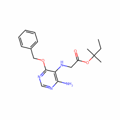 CCC(C)(C)OC(=O)CNc1c(N)ncnc1OCc1ccccc1